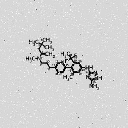 C=C(CC(C)(C)C)N(C)CCCc1ccc(-c2c(C)cc(Nc3n[nH]c(N)n3)cc2C(C)(F)F)cc1